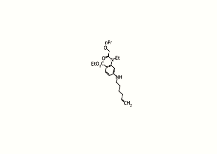 C=CCCCCNc1ccc(C(=O)OCC)c(N(CC)C(=O)COCCC)c1